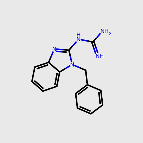 N=C(N)Nc1nc2ccccc2n1Cc1c[c]ccc1